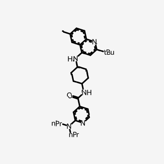 CCCN(CCC)c1cc(C(=O)NC2CCC(Nc3cc(C(C)(C)C)nc4ccc(C)cc34)CC2)ccn1